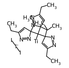 CCC1=CC(CC)([C]([Ti])(C2(CC)C=C(CC)N=N2)C2(CC)C=C(CC)N=N2)N=N1.I[I-]I